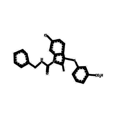 Cc1c(Sc2cccc(C(=O)O)c2)c2ccc(Cl)cc2n1C(=O)NCc1ccccc1